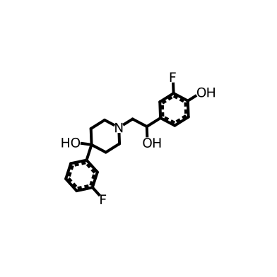 Oc1ccc(C(O)CN2CCC(O)(c3cccc(F)c3)CC2)cc1F